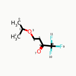 CC(C)OCCC(=O)C(F)(F)F